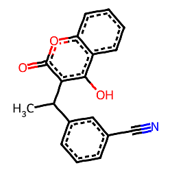 CC(c1cccc(C#N)c1)c1c(O)c2ccccc2oc1=O